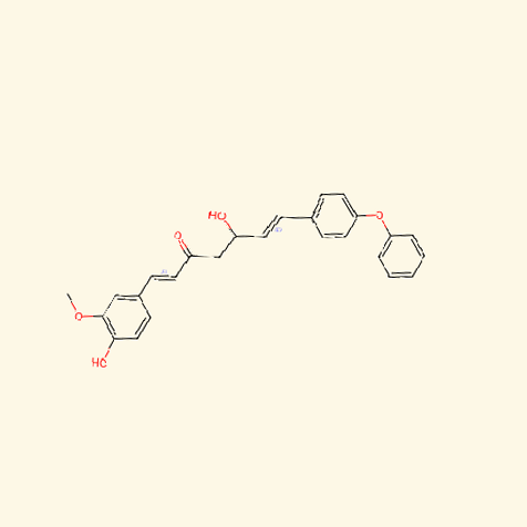 COc1cc(/C=C/C(=O)CC(O)/C=C/c2ccc(Oc3ccccc3)cc2)ccc1O